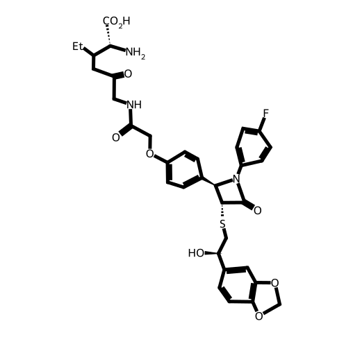 CCC(CC(=O)CNC(=O)COc1ccc([C@@H]2[C@@H](SC[C@H](O)c3ccc4c(c3)OCO4)C(=O)N2c2ccc(F)cc2)cc1)[C@@H](N)C(=O)O